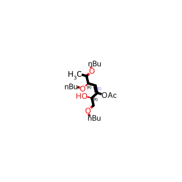 CCCCOC[C@@H](O)/C(=C\[C@@H](OCCCC)C(C)OCCCC)OC(C)=O